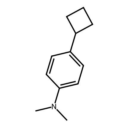 CN(C)c1ccc(C2CCC2)cc1